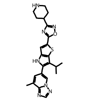 Cc1cc(-c2[nH]c3cc(-c4nc(C5CCNCC5)no4)sc3c2C(C)C)cn2ncnc12